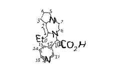 CCC1C2CCCN2CCN1C(C(=O)O)c1cccnc1